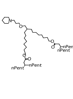 CCCCCC(CCCCC)CC(=O)OCCCCCCCCC(CCCCCCCCOC(=O)CC(CCCCC)CCCCC)COCCCN1CCCCC1